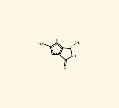 Cc1cc2c([nH]1)[C@H](C)NC2=O